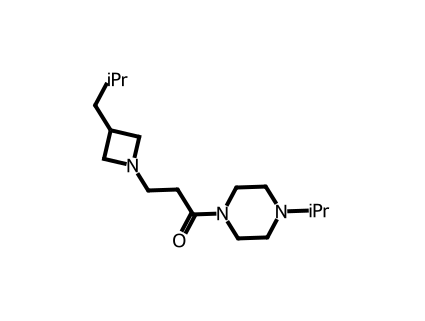 CC(C)CC1CN(CCC(=O)N2CCN(C(C)C)CC2)C1